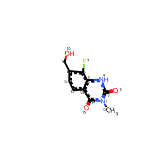 Cn1c(=O)[nH]c2c(F)c(CO)ccc2c1=O